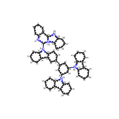 c1ccc2c(c1)nc(-n1c3ccccc3c3cc(-c4cc(-n5c6ccccc6c6ccccc65)cc(-n5c6ccccc6c6ccccc65)c4)ccc31)n1c3ccccc3nc21